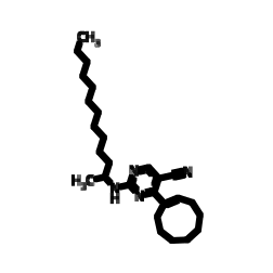 CCCCCCCCCCCC(C)Nc1ncc(C#N)c(/C2=C/CCCCCCC2)n1